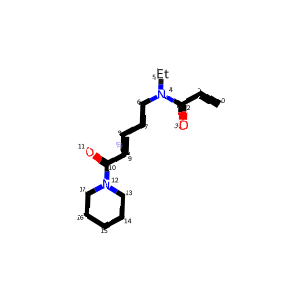 C=CC(=O)N(CC)CC/C=C/C(=O)N1CCCCC1